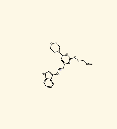 CNCCOc1nc(/C=N/Nc2c[nH]c3ccccc23)cc(N2CCOCC2)n1